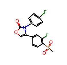 CS(=O)(=O)c1ccc(-c2coc(=O)n2-c2ccc(F)cc2)cc1F